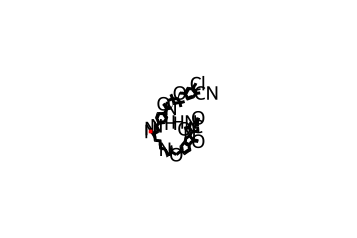 CC1(C)[C@H](NC(=O)c2ccc(-n3cc(CCCN4CC(Oc5ccc6c(c5)CN(C5CCC(=O)NC5=O)C6=O)C4)nn3)cc2)C(C)(C)[C@H]1Oc1ccc(C#N)c(Cl)c1